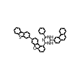 c1ccc(C2=NC(c3cccc4oc5cc(-c6ccc7c(c6)sc6ccccc67)ccc5c34)NC(c3ccc4ccc5ccccc5c4c3)N2)cc1